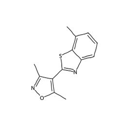 Cc1noc(C)c1-c1nc2cccc(C)c2s1